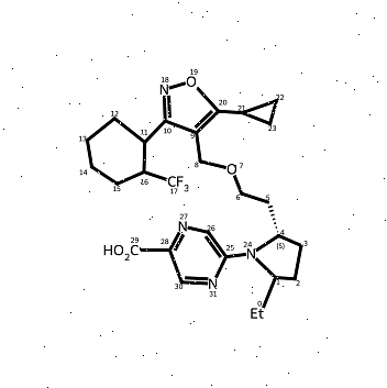 CCC1CC[C@@H](CCOCc2c(C3CCCCC3C(F)(F)F)noc2C2CC2)N1c1cnc(C(=O)O)cn1